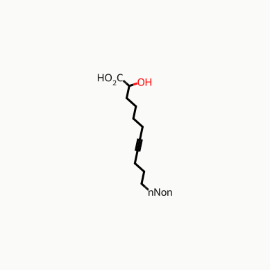 CCCCCCCCCCCCC#CCCCCC(O)C(=O)O